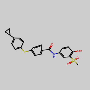 CS(=O)(=O)c1cc(NC(=O)c2ccc(Sc3ccc(C4CC4)cc3)cc2)ccc1O